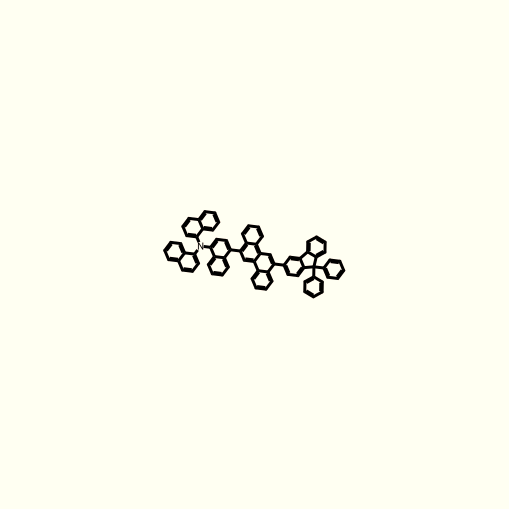 c1ccc(C2(c3ccccc3)c3ccccc3-c3cc(-c4cc5c6ccccc6c(-c6ccc(N(c7cccc8ccccc78)c7cccc8ccccc78)c7ccccc67)cc5c5ccccc45)ccc32)cc1